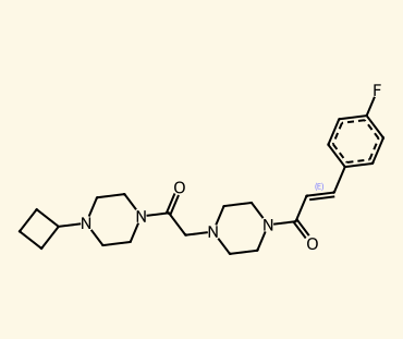 O=C(/C=C/c1ccc(F)cc1)N1CCN(CC(=O)N2CCN(C3CCC3)CC2)CC1